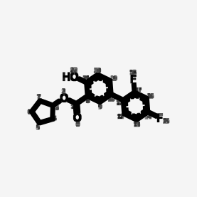 O=C(OC1CCCC1)c1cc(-c2ccc(F)cc2F)ccc1O